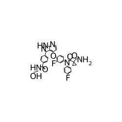 NC(=O)C1(C(=O)N(c2ccc(F)cc2)c2ccc(Oc3ccnc4[nH]nc(-c5ccc(C(=O)NCCO)cc5)c34)c(F)c2)CC1